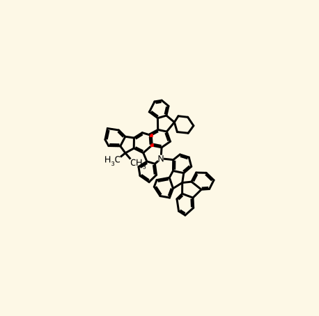 CC1(C)c2ccccc2-c2cccc(-c3ccccc3N(c3ccc4c(c3)C3(CCCCC3)c3ccccc3-4)c3cccc4c3-c3ccccc3C43c4ccccc4-c4ccccc43)c21